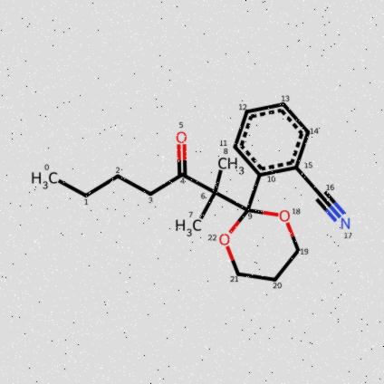 CCCCC(=O)C(C)(C)C1(c2ccccc2C#N)OCCCO1